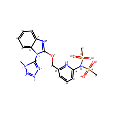 Cn1nnnc1-n1c(OCc2cccc(N(S(C)(=O)=O)S(C)(=O)=O)n2)nc2ccccc21